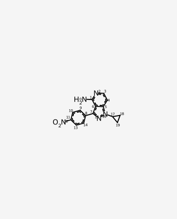 Nc1nccc2c1c(-c1ccc([N+](=O)[O-])cc1)nn2C1CC1